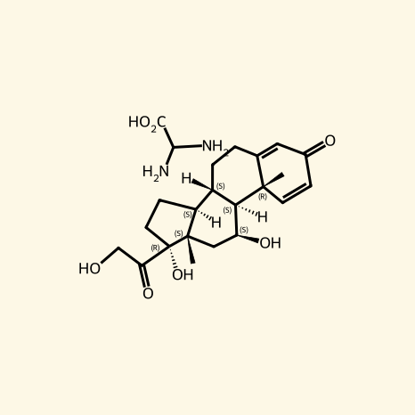 C[C@]12C=CC(=O)C=C1CC[C@@H]1[C@@H]2[C@@H](O)C[C@@]2(C)[C@H]1CC[C@]2(O)C(=O)CO.NC(N)C(=O)O